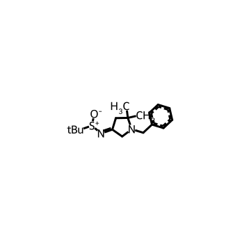 CC1(C)CC(=N[S+]([O-])C(C)(C)C)CN1Cc1ccccc1